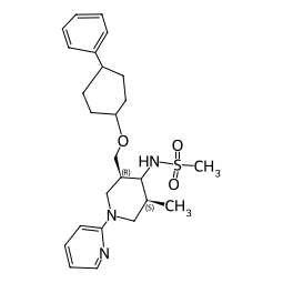 C[C@H]1CN(c2ccccn2)C[C@@H](COC2CCC(c3ccccc3)CC2)C1NS(C)(=O)=O